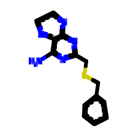 Nc1nc(CSCc2ccccc2)nc2nccnc12